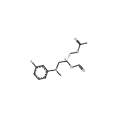 CC(=O)OC[C@@H](CN(C)c1cccc(F)c1)OC=O